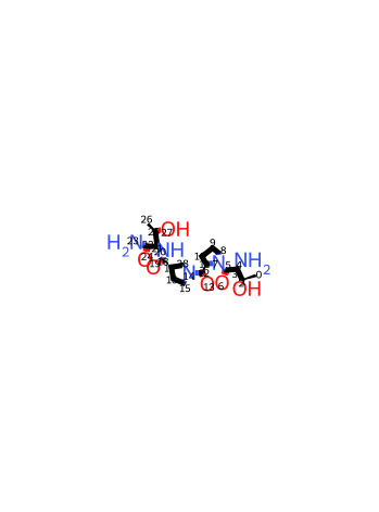 C[C@@H](O)[C@H](N)C(=O)N1CCC[C@@H]1C(=O)N1CC[C@H](C(=O)N[C@H](C(N)=O)[C@@H](C)O)C1